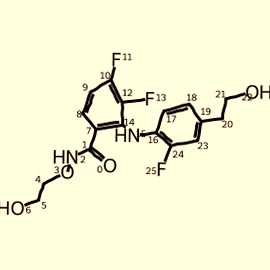 O=C(NOCCO)c1ccc(F)c(F)c1Nc1ccc(CCO)cc1F